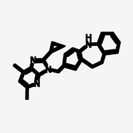 Cc1cc(C)c2nc(C3CC3)n(Cc3ccc4c(c3)CCc3ccccc3N4)c2n1